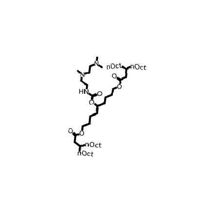 CCCCCCCCC(CCCCCCCC)CC(=O)OCCCCC(CCCCOC(=O)CC(CCCCCCCC)CCCCCCCC)OC(=O)NCCN(C)CCN(C)C